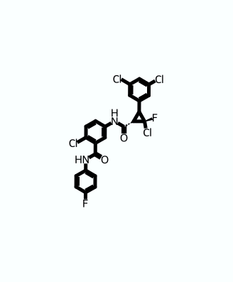 O=C(Nc1ccc(F)cc1)c1cc(NC(=O)[C@@H]2C(c3cc(Cl)cc(Cl)c3)[C@]2(F)Cl)ccc1Cl